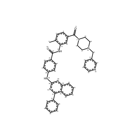 Cc1ccc(C(=O)N2CCN(Cc3cccnc3)CC2)cc1NC(=O)c1ccc(Nc2nc(-c3ccccc3)c3ccccc3n2)cc1